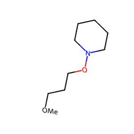 COCCCON1CCCCC1